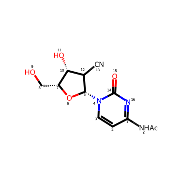 CC(=O)Nc1ccn([C@@H]2O[C@H](CO)[C@H](O)C2C#N)c(=O)n1